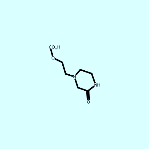 O=C1CN(CCOC(=O)O)CCN1